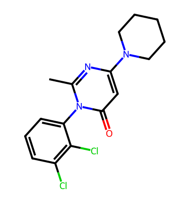 Cc1nc(N2CCCCC2)cc(=O)n1-c1cccc(Cl)c1Cl